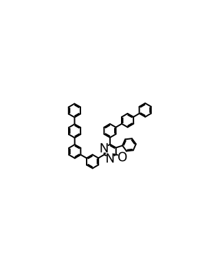 c1ccc(-c2ccc(-c3cccc(-c4cccc(-c5nc(-c6cccc(-c7ccc(-c8ccccc8)cc7)c6)c6c(n5)oc5ccccc56)c4)c3)cc2)cc1